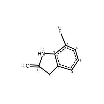 O=C1Cc2cccc(F)c2N1